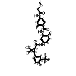 COCC(=O)Nc1ccc(C(=O)Nc2cc(NC(=O)C3C(c4ccc(F)c(C(F)(F)F)c4)C3(Cl)Cl)ccc2Cl)c(F)c1